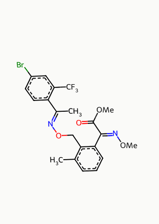 CO/N=C(/C(=O)OC)c1cccc(C)c1CO/N=C(\C)c1ccc(Br)cc1C(F)(F)F